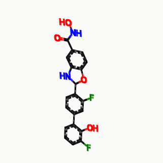 O=C(NO)c1ccc2c(c1)NC(c1ccc(-c3cccc(F)c3O)cc1F)O2